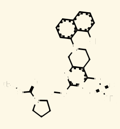 CC(C)(C)OC(=O)N1CCC[C@H]1COc1nc2c(c(OS(=O)(=O)C(F)(F)F)n1)CCN(c1cccc3cccc(Cl)c13)C2